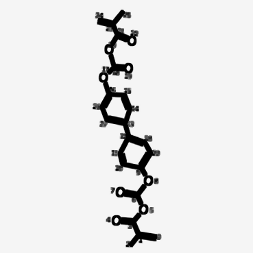 C=C(C)C(=O)OC(=O)Oc1ccc(-c2ccc(OC(=O)OC(=O)C(=C)C)cc2)cc1